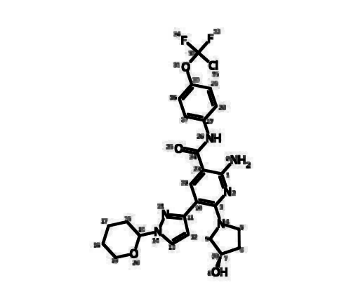 Nc1nc(N2CC[C@@H](O)C2)c(-c2ccn(C3CCCCO3)n2)cc1C(=O)Nc1ccc(OC(F)(F)Cl)cc1